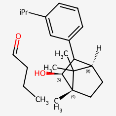 CC(C)c1cccc(C2[C@H]3CC[C@](C)([C@H]2O)C3(C)C)c1.CCCC=O